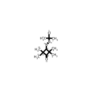 CC(C)(Cl)N=NC1C(C)(C)C(=O)C1(C)C